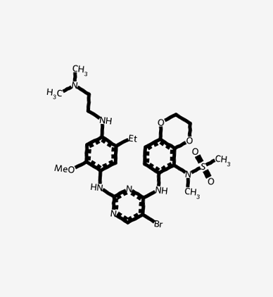 CCc1cc(Nc2ncc(Br)c(Nc3ccc4c(c3N(C)S(C)(=O)=O)OCCO4)n2)c(OC)cc1NCCN(C)C